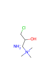 C[N+](C)(C)CC(O)CCl.[NH2-]